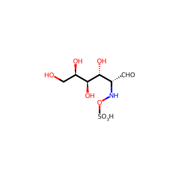 O=C[C@H](NOS(=O)(=O)O)[C@@H](O)[C@@H](O)[C@H](O)CO